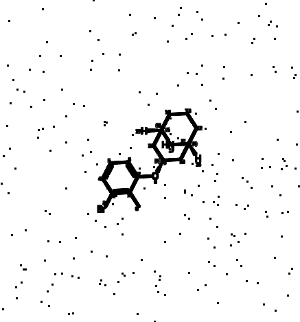 Cc1c(Br)cccc1O[C@@H]1C[C@H]2CCC[C@@H](C1)N2